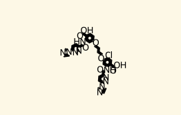 O=C(Nc1cc(OCCCCOc2cc(NC(=O)c3ccc(-n4ccnc4)nn3)c(C(=O)O)cc2Cl)ccc1C(=O)O)c1ccc(-n2ccnc2)nn1